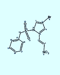 O=[N+]([O-])C=Cc1cc(Br)cn1S(=O)(=O)Cc1ccccc1